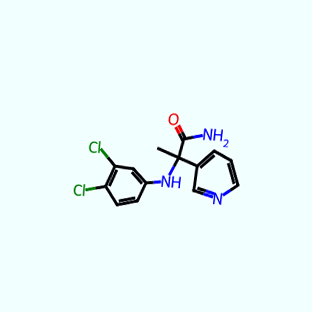 CC(Nc1ccc(Cl)c(Cl)c1)(C(N)=O)c1cccnc1